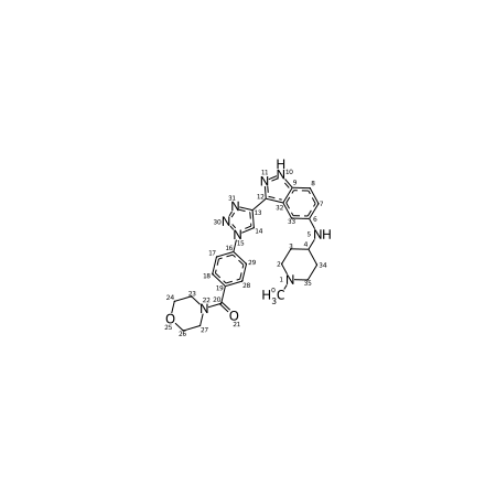 CN1CCC(Nc2ccc3[nH]nc(-c4cn(-c5ccc(C(=O)N6CCOCC6)cc5)nn4)c3c2)CC1